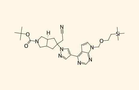 CC(C)(C)OC(=O)N1CC2CC(CC#N)(n3cc(-c4ncnc5c4ccn5COCC[Si](C)(C)C)cn3)C[C@@H]2C1